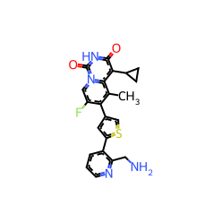 Cc1c(-c2csc(-c3cccnc3CN)c2)c(F)cn2c(=O)[nH]c(=O)c(C3CC3)c12